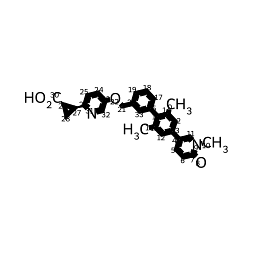 Cc1cc(-c2ccc(=O)n(C)c2)cc(C)c1-c1cccc(COc2ccc([C@H]3C[C@@H]3C(=O)O)nc2)c1